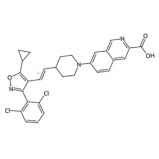 O=C(O)c1cc2ccc(N3CCC(/C=C/c4c(-c5c(Cl)cccc5Cl)noc4C4CC4)CC3)cc2cn1